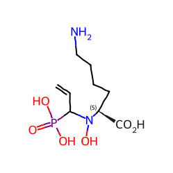 C=CC(N(O)[C@@H](CCCCN)C(=O)O)P(=O)(O)O